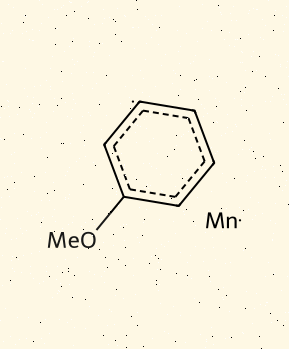 COc1c[c]ccc1.[Mn]